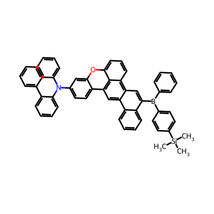 C[Si](C)(C)c1ccc(B(c2ccccc2)c2cc3c4cccc5c4c(cc3c3ccccc23)-c2ccc(N(c3ccccc3)c3ccccc3-c3ccccc3)cc2O5)cc1